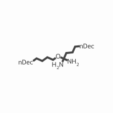 CCCCCCCCCCCCCCOC(N)(N)CCCCCCCCCCCCC